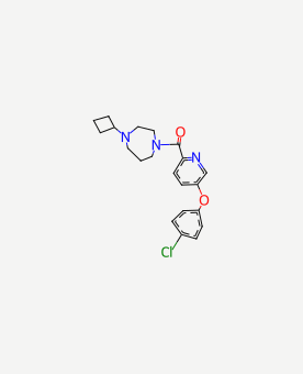 O=C(c1ccc(Oc2ccc(Cl)cc2)cn1)N1CCCN(C2CCC2)CC1